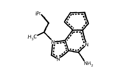 CC(C)CC(C)n1cnc2c(N)nc3ccccc3c21